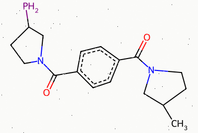 CC1CCN(C(=O)c2ccc(C(=O)N3CCC(P)C3)cc2)C1